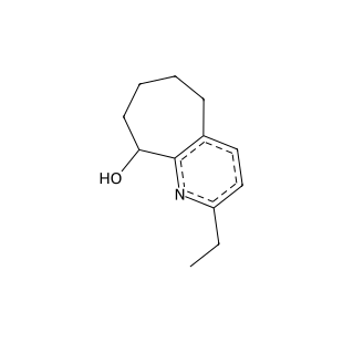 CCc1ccc2c(n1)C(O)CCCC2